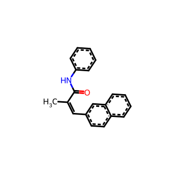 CC(=Cc1ccc2ccccc2c1)C(=O)Nc1ccccc1